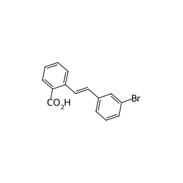 O=C(O)c1ccccc1C=Cc1cccc(Br)c1